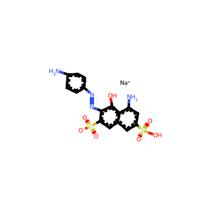 Nc1ccc(N=Nc2c(S(=O)(=O)[O-])cc3cc(S(=O)(=O)O)cc(N)c3c2O)cc1.[Na+]